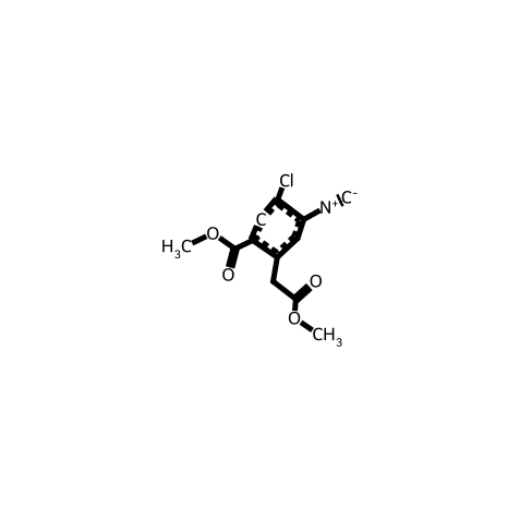 [C-]#[N+]c1cc(CC(=O)OC)c(C(=O)OC)cc1Cl